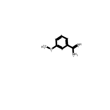 COc1[c]ccc(C(=N)N)c1